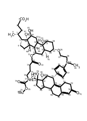 C[C@H](CCC(=O)O)[C@H]1CC[C@H]2[C@@H]3[C@H](OC(=O)CCCNC(=O)OC(C)(C)C)C[C@@H]4C[C@@H](OCCN(C)c5ccc([C@H]6C[C@@]7(C)C(CC[C@]7(C)O)C7CCC8=CC(=O)CCC8=C76)cc5)CC[C@]4(C)[C@H]3C[C@H](O)[C@]12C